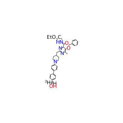 [2H]C([2H])(O)c1ccc(-c2ccc(N3CCC(Cc4nc(C)c(OCc5ccccc5)c(C(=O)NCC(=O)OCC)n4)CC3)cc2)cc1